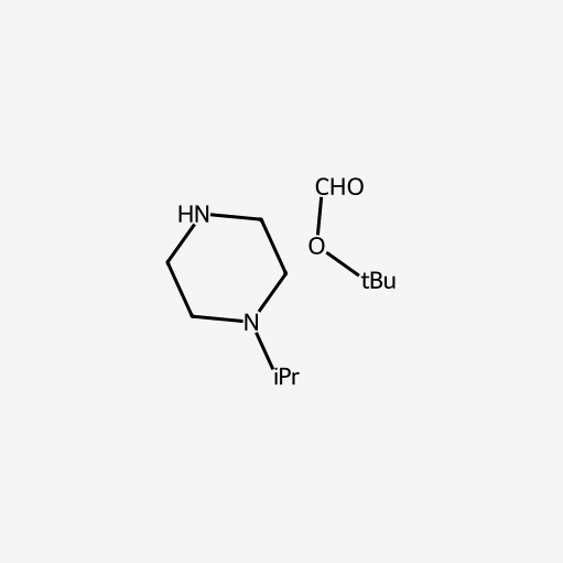 CC(C)(C)OC=O.CC(C)N1CCNCC1